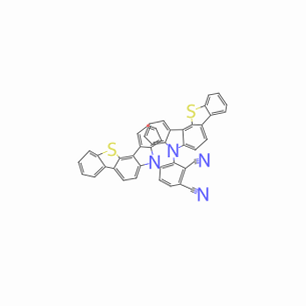 N#Cc1ccc(-n2c3ccccc3c3c4sc5ccccc5c4ccc32)c(-n2c3ccccc3c3c4sc5ccccc5c4ccc32)c1C#N